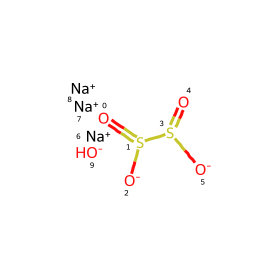 O=S([O-])S(=O)[O-].[Na+].[Na+].[Na+].[OH-]